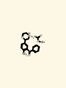 CC(C)(C)OC(N)=O.O=C(c1ccccc1)c1cc(C2CNCCO2)ccc1[N+](=O)[O-]